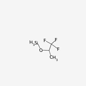 CC(O[SiH3])C(F)(F)F